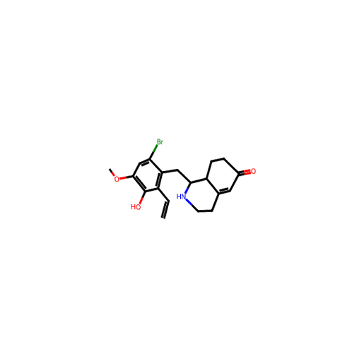 C=Cc1c(O)c(OC)cc(Br)c1CC1NCCC2=CC(=O)CCC21